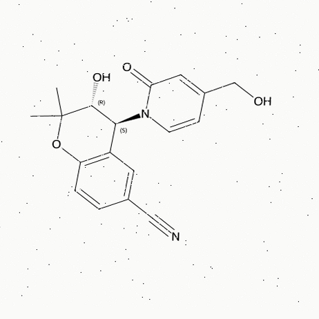 CC1(C)Oc2ccc(C#N)cc2[C@H](n2ccc(CO)cc2=O)[C@H]1O